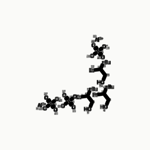 CCCCC(CC)CO.CCCCC(CC)CO.CCCCC(CC)CO.O=S(=O)([O-])[O-].O=S(=O)([O-])[O-].O=S(=O)([O-])[O-].[Al+3].[Al+3]